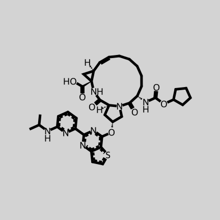 CC(C)Nc1cccc(-c2nc(O[C@@H]3C[C@H]4C(=O)N[C@]5(C(=O)O)C[C@H]5/C=C\CCCCC[C@H](NC(=O)OC5CCCC5)C(=O)N4C3)c3sccc3n2)n1